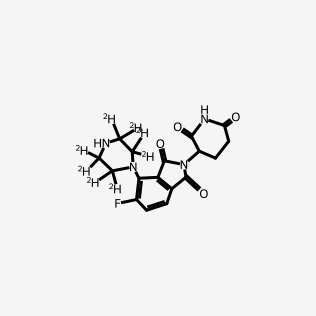 [2H]C1([2H])NC([2H])([2H])C([2H])([2H])N(c2c(F)ccc3c2C(=O)N(C2CCC(=O)NC2=O)C3=O)C1([2H])[2H]